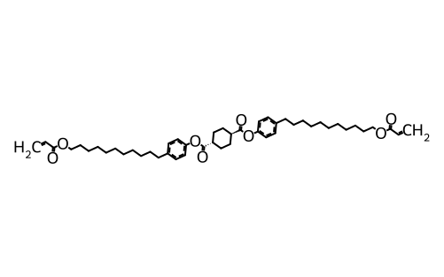 C=CC(=O)OCCCCCCCCCCCc1ccc(OC(=O)[C@H]2CC[C@H](C(=O)Oc3ccc(CCCCCCCCCCCOC(=O)C=C)cc3)CC2)cc1